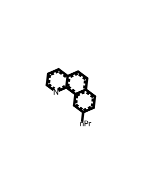 CCCc1ccc2ccc3cccnc3c2c1